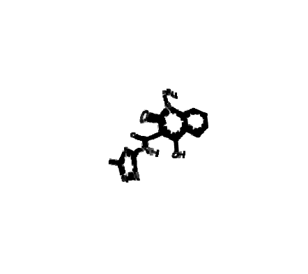 CCCCn1c(=O)c(C(=O)Nc2nnc(C)s2)c(O)c2ccccc21